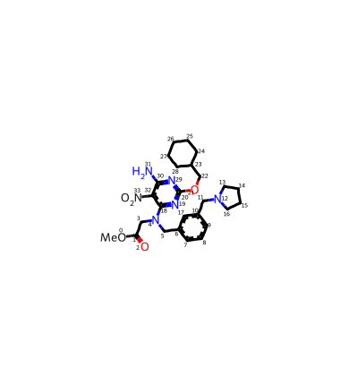 COC(=O)CN(Cc1cccc(CN2CCCC2)c1)c1nc(OCC2CCCCC2)nc(N)c1[N+](=O)[O-]